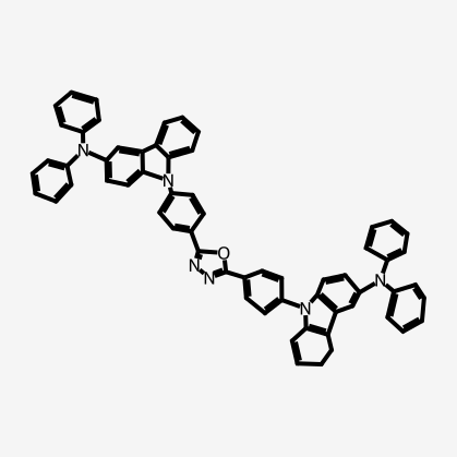 C1=Cc2c(c3cc(N(c4ccccc4)c4ccccc4)ccc3n2-c2ccc(-c3nnc(-c4ccc(-n5c6ccccc6c6cc(N(c7ccccc7)c7ccccc7)ccc65)cc4)o3)cc2)CC1